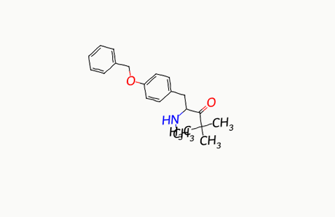 CNC(Cc1ccc(OCc2ccccc2)cc1)C(=O)C(C)(C)C